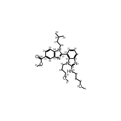 COCCCNc1nc2cccc(-c3nc4cc(C(=O)OC)ccc4n3CCC(C)C)c2n1CCCOC